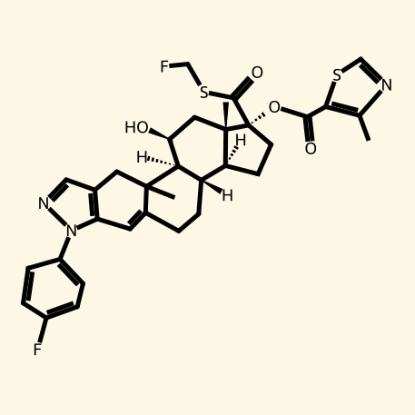 Cc1ncsc1C(=O)O[C@]1(C(=O)SCF)CC[C@H]2[C@@H]3CCC4=Cc5c(cnn5-c5ccc(F)cc5)CC4(C)[C@H]3[C@@H](O)C[C@@]21C